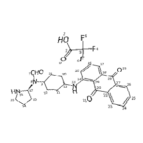 O=C(O)C(F)(F)F.O=CN(C1CCC(Nc2cccc3c2C(=O)c2ccccc2C3=O)CC1)[C@H]1CCCN1